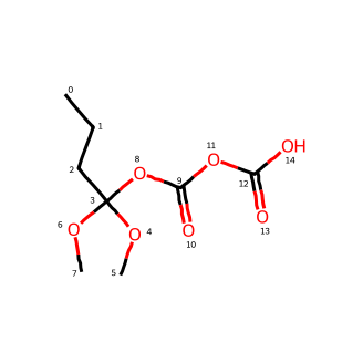 CCCC(OC)(OC)OC(=O)OC(=O)O